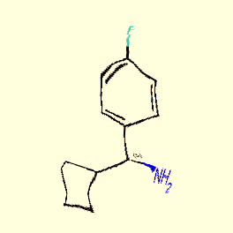 N[C@H](c1ccc(F)cc1)C1CCC1